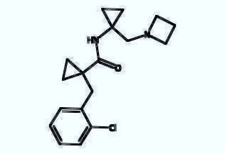 O=C(NC1(CN2CCC2)CC1)C1(Cc2ccccc2Cl)CC1